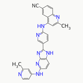 Cc1cc(Nc2ccc3[nH]c(-c4ccc(Nc5cc(C)nc6ccc(C#N)cc56)nc4)nc3n2)ccn1